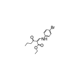 CCCC(=O)C(=CNc1ccc(Br)cc1)C(=O)OCC